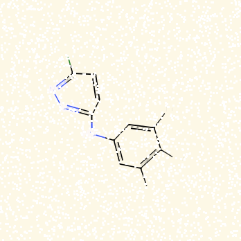 CCc1cc(Nc2ccc(Cl)nn2)cc(CC)c1OC(C)=O